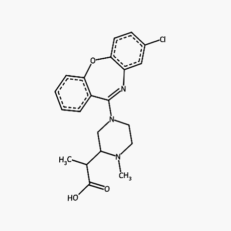 CC(C(=O)O)C1CN(C2=Nc3cc(Cl)ccc3Oc3ccccc32)CCN1C